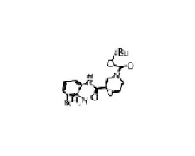 CC(C)(C)OC(=O)N1CCOC(C(=O)Nc2cccc(Br)c2N)C1